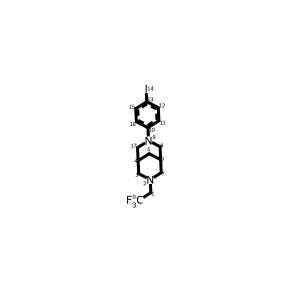 FC(F)(F)CN1CC2CC(C1)CN(c1ccc(I)cc1)C2